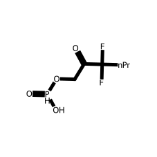 CCCC(F)(F)C(=O)CO[PH](=O)O